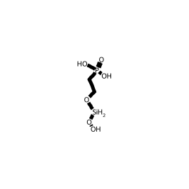 O=P(O)(O)CCO[SiH2]OO